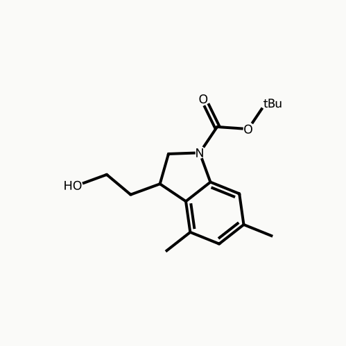 Cc1cc(C)c2c(c1)N(C(=O)OC(C)(C)C)CC2CCO